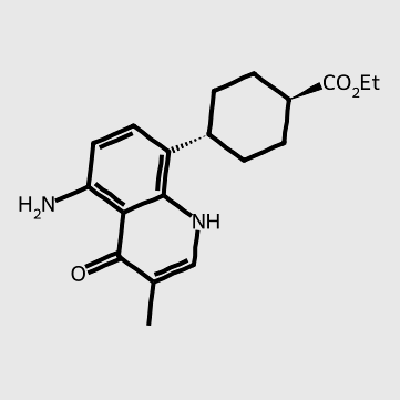 CCOC(=O)[C@H]1CC[C@H](c2ccc(N)c3c(=O)c(C)c[nH]c32)CC1